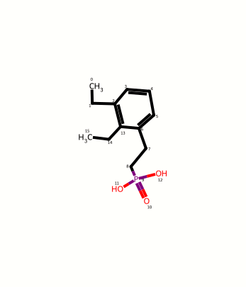 CCc1cccc(CCP(=O)(O)O)c1CC